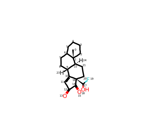 C[C@]12CCCCC1CC[C@H]1C3=CC(=O)C(=O)[C@@]3(C(O)F)CC[C@@H]12